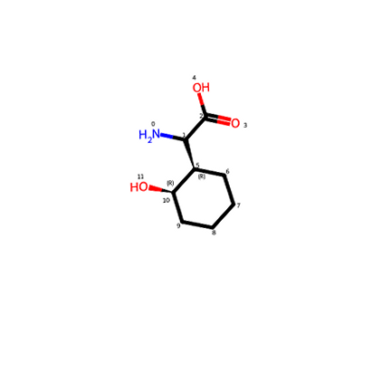 NC(C(=O)O)[C@H]1CCCC[C@H]1O